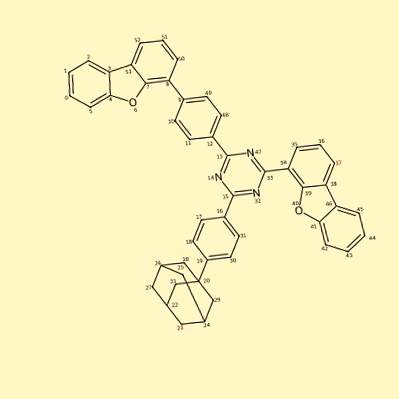 c1ccc2c(c1)oc1c(-c3ccc(-c4nc(-c5ccc(C67CC8CC(CC(C8)C6)C7)cc5)nc(-c5cccc6c5oc5ccccc56)n4)cc3)cccc12